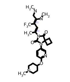 C=NC/C(N=C)=C(/C=C(\C)N1C(=O)N(c2ccc(OC3CCN(C)CC3)nc2)C2(CCC2)C1=O)C(F)(F)F